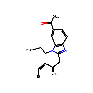 C=C(/C=C\CC)Cc1nc2ccc(C(=O)OC)cc2n1CCOC